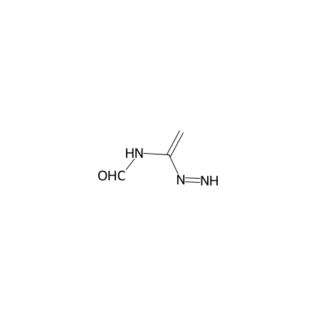 C=C(N=N)NC=O